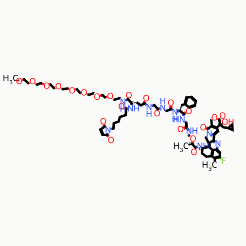 COCCOCCOCCOCCOCCOCCOCCOCCNC(=O)[C@H](CCC(=O)NCC(=O)NCC(=O)N[C@@H](Cc1ccccc1)C(=O)NCC(=O)NCO[C@H](C)C(=O)N[C@H]1CCc2c(C)c(F)cc3nc4c(c1c23)Cn1c-4cc2c(c1=O)COC(=O)[C@]2(O)CC1CC1)NC(=O)CCCCCN1C(=O)C=CC1=O